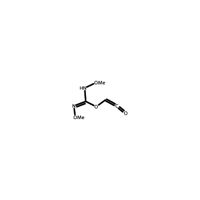 CON=C(NOC)OC=C=O